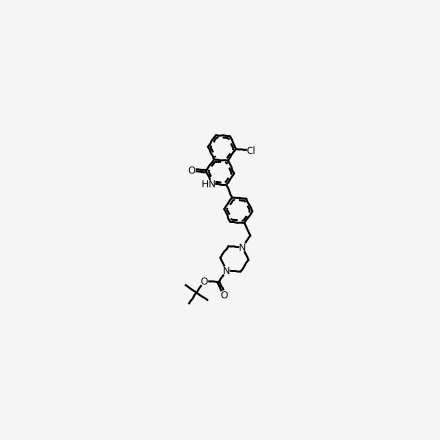 CC(C)(C)OC(=O)N1CCN(Cc2ccc(-c3cc4c(Cl)cccc4c(=O)[nH]3)cc2)CC1